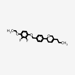 CCCC1=CCC(c2ccc(COc3ccc(OCC)c(F)c3F)cc2)OC1